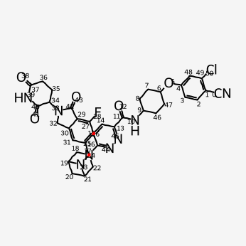 N#Cc1ccc(OC2CCC(NC(=O)c3ccc(N4CC5CC(C4)N5Cc4cc(F)c5c(c4)CN(C4CCC(=O)NC4=O)C5=O)nn3)CC2)cc1Cl